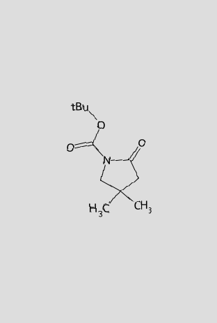 CC1(C)CC(=O)N(C(=O)OC(C)(C)C)C1